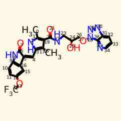 Cc1[nH]c(C=C2C(=O)Nc3ccc(OC(F)(F)F)cc32)c(C)c1C(=O)NCC(O)COn1nnc2cccnc21